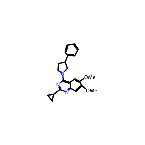 COc1cc2nc(C3CC3)nc(N3CCC(c4ccccc4)C3)c2cc1OC